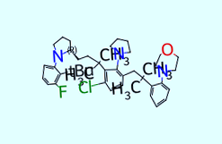 CC(C)(C)c1c(F)cccc1N1CCC[C@H]1CCC(C)(C)c1c(Cl)ccc(CC(C)(C)c2ccccc2N2CCOCC2)c1N1CCCC1